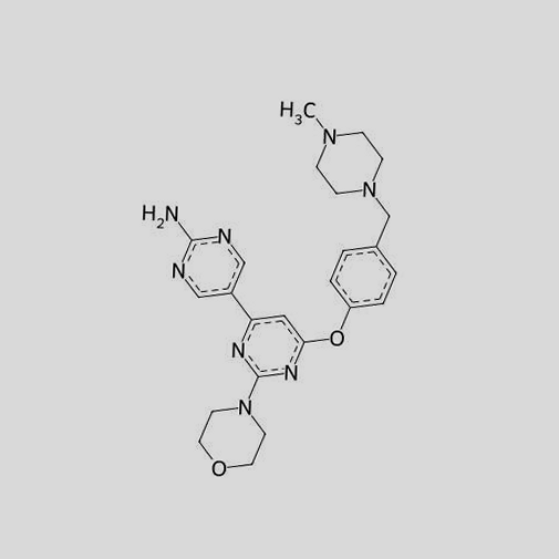 CN1CCN(Cc2ccc(Oc3cc(-c4cnc(N)nc4)nc(N4CCOCC4)n3)cc2)CC1